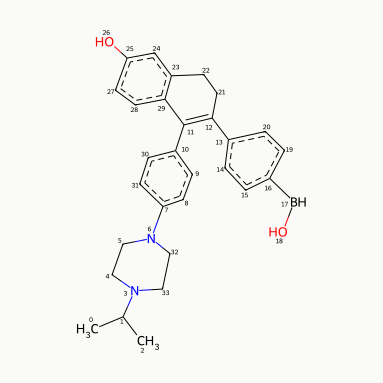 CC(C)N1CCN(c2ccc(C3=C(c4ccc(BO)cc4)CCc4cc(O)ccc43)cc2)CC1